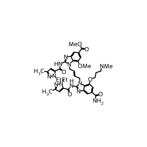 CCn1nc(C)cc1C(=O)Nc1nc2cc(C(=O)OC)cc(OC)c2n1C/C=C/Cn1c(NC(=O)c2cc(C)nn2CC)nc2cc(C(N)=O)cc(OCCCNC)c21